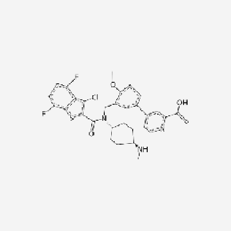 C=C(O)c1cc(-c2ccc(OC)c(CN(C(=O)c3sc4c(F)ccc(F)c4c3Cl)[C@H]3CC[C@H](NC)CC3)c2)ccn1